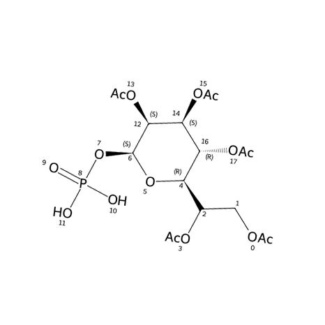 CC(=O)OCC(OC(C)=O)[C@H]1O[C@@H](OP(=O)(O)O)[C@@H](OC(C)=O)[C@@H](OC(C)=O)[C@@H]1OC(C)=O